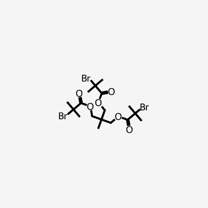 CC(COC(=O)C(C)(C)Br)(COC(=O)C(C)(C)Br)COC(=O)C(C)(C)Br